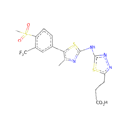 Cc1nc(Nc2nnc(CCC(=O)O)s2)sc1-c1ccc(S(C)(=O)=O)c(C(F)(F)F)c1